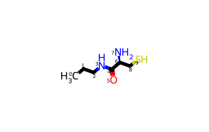 CCCNC(=O)[C@@H](N)CS